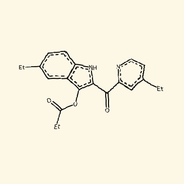 CCC(=O)Oc1c(C(=O)c2cc(CC)ccn2)[nH]c2ccc(CC)cc12